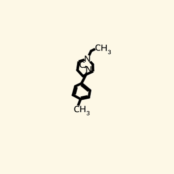 CCN1CC2CCC1CN2c1ccc(C)cc1